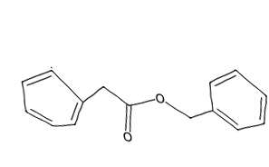 O=C(Cc1[c]cccc1)OCc1ccccc1